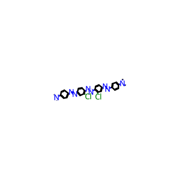 CN(C)c1ccc(N=Nc2ccc(/N=N/c3ccc(N=Nc4ccc(N(C)C)cc4)cc3Cl)c(Cl)c2)cc1